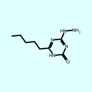 CCCCCc1nc(NN)nc(=O)[nH]1